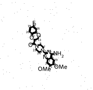 COc1cc2nc(N3CCN(C(=O)C4COc5cc(F)ccc5O4)CC3)nc(N)c2cc1OC